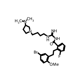 COc1ccc(Br)cc1CCc1c(F)cccc1C(=O)NC(=N)NCCCCN1CCC(N(C)C)C1